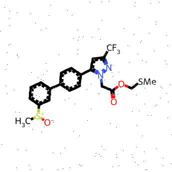 CSCOC(=O)Cn1nc(C(F)(F)F)cc1-c1ccc(-c2cccc([S+](C)[O-])c2)cc1